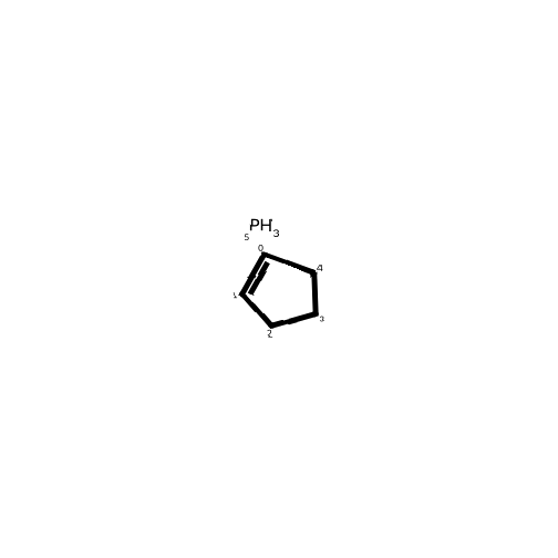 C1=CCCC1.P